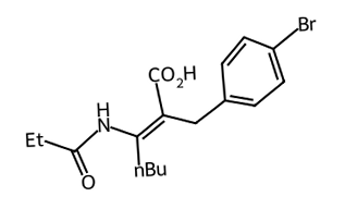 CCCC/C(NC(=O)CC)=C(\Cc1ccc(Br)cc1)C(=O)O